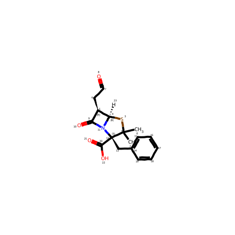 CC1(C)S[C@@H]2[C@H](CC=O)C(=O)N2[C@@]1(Cc1ccccc1)C(=O)O